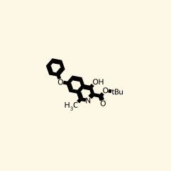 Cc1nc(C(=O)OC(C)(C)C)c(O)c2ccc(Oc3ccccc3)cc12